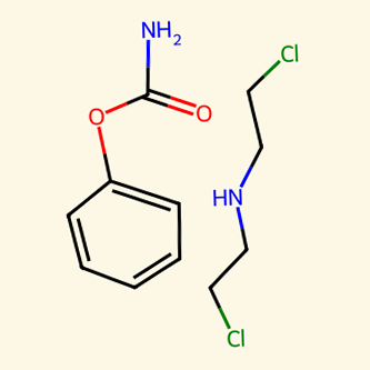 ClCCNCCCl.NC(=O)Oc1ccccc1